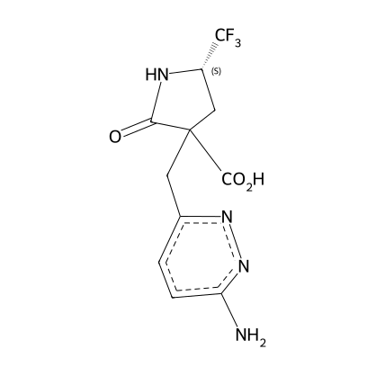 Nc1ccc(CC2(C(=O)O)C[C@@H](C(F)(F)F)NC2=O)nn1